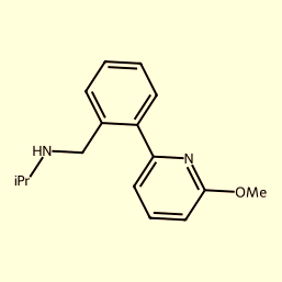 COc1cccc(-c2ccccc2CNC(C)C)n1